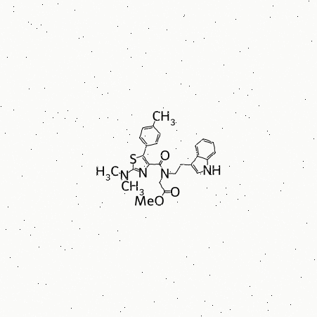 COC(=O)CN(CCc1c[nH]c2ccccc12)C(=O)c1nc(N(C)C)sc1-c1ccc(C)cc1